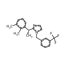 Cc1cccc([C@H](C)c2nccn2Cc2cccc(C(F)(F)F)c2)c1C